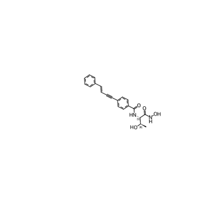 C[C@@H](O)[C@H](NC(=O)c1ccc(C#CC=Cc2ccccc2)cc1)C(=O)NO